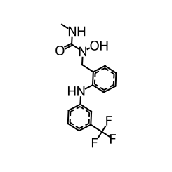 CNC(=O)N(O)Cc1ccccc1Nc1cccc(C(F)(F)F)c1